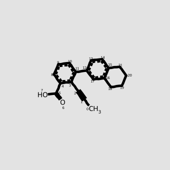 CC#Cc1c(C(=O)O)cccc1-c1ccc2c(c1)CCCC2